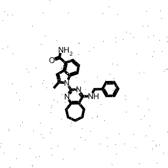 Cc1cc2c(C(N)=O)cccc2n1-c1nc2c(c(NCc3ccccc3)n1)CCCCC2